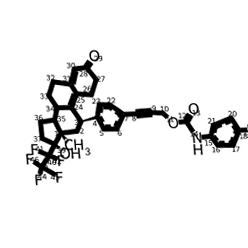 C[C@]12C[C@H](c3ccc(C#CCOC(=O)Nc4ccc(F)cc4)cc3)C3=C4CCC(=O)C=C4CCC3C1CC[C@@]2(O)C(F)(F)C(F)(F)F